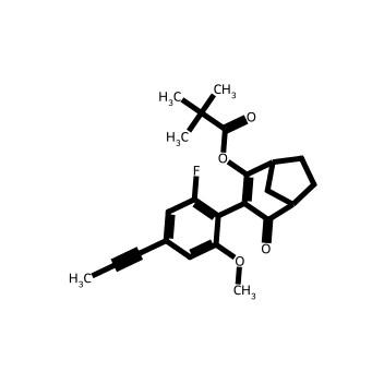 CC#Cc1cc(F)c(C2=C(OC(=O)C(C)(C)C)C3CCC(C3)C2=O)c(OC)c1